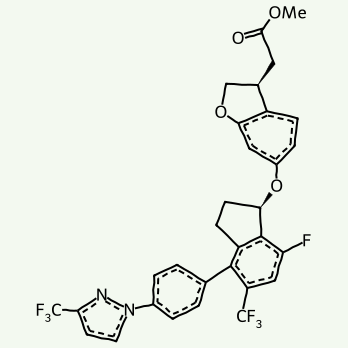 COC(=O)C[C@@H]1COc2cc(O[C@@H]3CCc4c(-c5ccc(-n6ccc(C(F)(F)F)n6)cc5)c(C(F)(F)F)cc(F)c43)ccc21